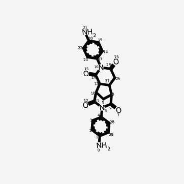 Nc1ccc(N2C(=O)C3CC(C2=O)C2C(=O)N(c4ccc(N)cc4)C(=O)CC32)cc1